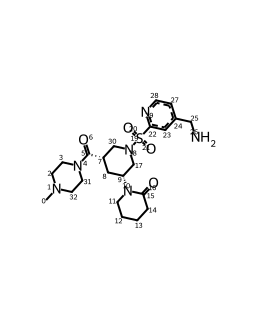 CN1CCN(C(=O)[C@H]2C[C@@H](N3CCCCC3=O)CN(S(=O)(=O)c3cc(CN)ccn3)C2)CC1